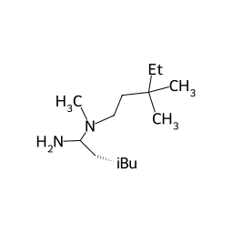 CC[C@@H](C)CC(N)N(C)CCC(C)(C)CC